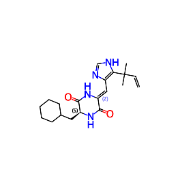 C=CC(C)(C)c1[nH]cnc1/C=C1\NC(=O)[C@H](CC2CCCCC2)NC1=O